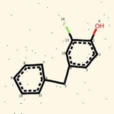 Oc1ccc(Cc2ccccc2)cc1F